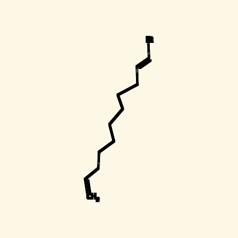 C=CCCCCCCCC=CCC